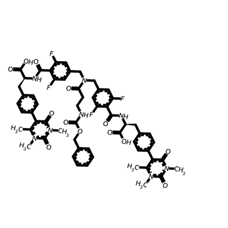 Cc1c(-c2ccc(C[C@H](NC(=O)c3c(F)cc(CN(Cc4cc(F)c(C(=O)N[C@@H](Cc5ccc(-c6c(C)n(C)c(=O)n(C)c6=O)cc5)C(=O)O)c(F)c4)C(=O)CCNC(=O)OCc4ccccc4)cc3F)C(=O)O)cc2)c(=O)n(C)c(=O)n1C